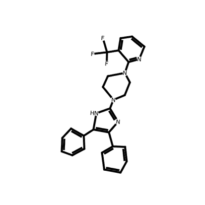 FC(F)(F)c1cccnc1N1CCN(c2nc(-c3ccccc3)c(-c3ccccc3)[nH]2)CC1